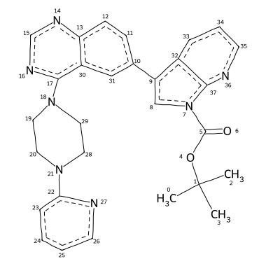 CC(C)(C)OC(=O)n1cc(-c2ccc3ncnc(N4CCN(c5ccccn5)CC4)c3c2)c2cccnc21